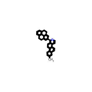 Cc1ccc2c(ccc3c4ccnc(-c5cc6c7c(c5)CCc5cccc(c5-7)CC6)c4ccc23)c1